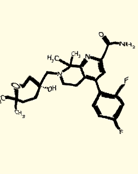 CC1(C)C[C@](O)(CN2CCc3c(-c4ccc(F)cc4F)cc(C(N)=O)nc3C2(C)C)CO1